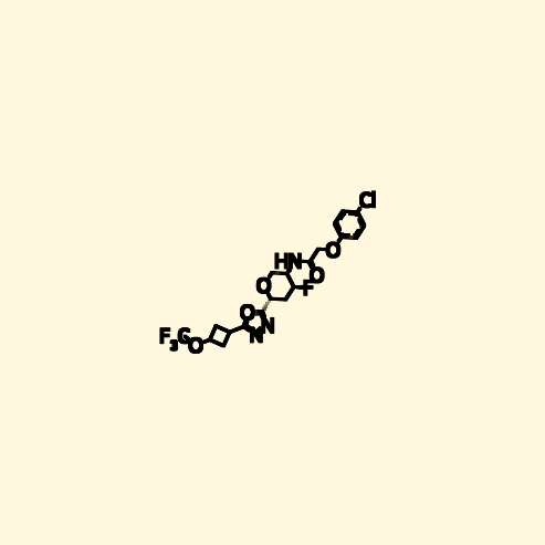 O=C(COc1ccc(Cl)cc1)N[C@@H]1CO[C@@H](c2nnc(C3CC(OC(F)(F)F)C3)o2)C[C@@H]1F